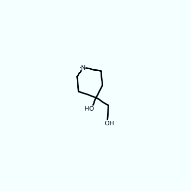 OCC1(O)CC[N]CC1